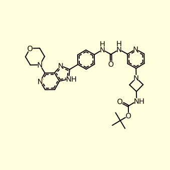 CC(C)(C)OC(=O)NC1CN(c2ccnc(NC(=O)Nc3ccc(-c4nc5c(N6CCOCC6)nccc5[nH]4)cc3)c2)C1